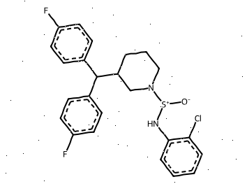 [O-][S+](Nc1ccccc1Cl)N1CCCC(C(c2ccc(F)cc2)c2ccc(F)cc2)C1